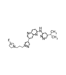 CC(C)c1cnnc(Nc2ccc3ncc(-c4cnn(CCCN5CC[C@@H](F)C5)c4)cc3n2)c1